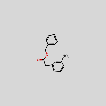 O=C(Cc1cccc([N+](=O)[O-])c1)OCc1ccccc1